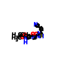 CC(C)(C)OC(=O)Nc1ccc(C(=O)N2CC[C@@H]2C(=O)Nc2nc(-c3cccc(-c4ccncc4)c3)cs2)cc1